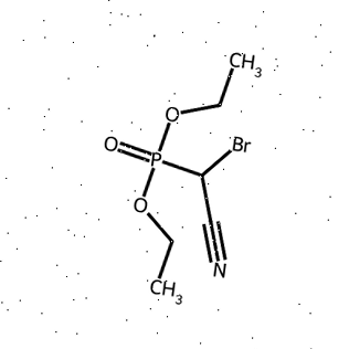 CCOP(=O)(OCC)C(Br)C#N